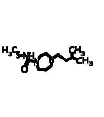 CSNC(=O)N1CCCN(CCC(C)C)CC1